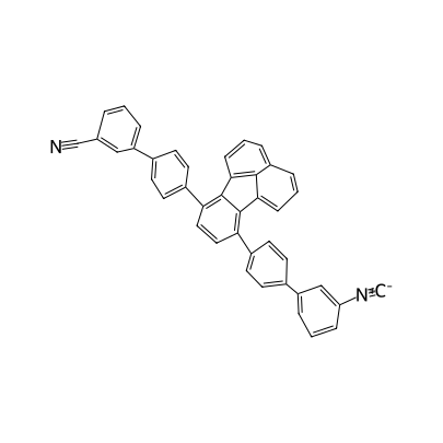 [C-]#[N+]c1cccc(-c2ccc(-c3ccc(-c4ccc(-c5cccc(C#N)c5)cc4)c4c3-c3cccc5cccc-4c35)cc2)c1